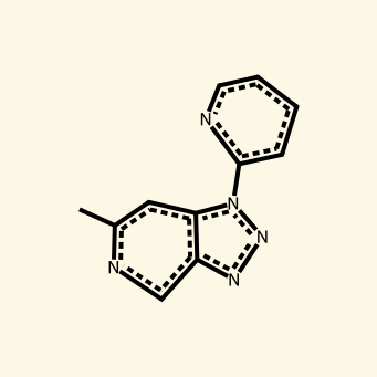 Cc1cc2c(cn1)nnn2-c1ccccn1